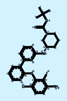 CC(C)(C)OC(=O)N1CCC[C@H](Nc2nccc(-c3cccnc3Oc3c(Cl)ccc(N)c3F)n2)C1